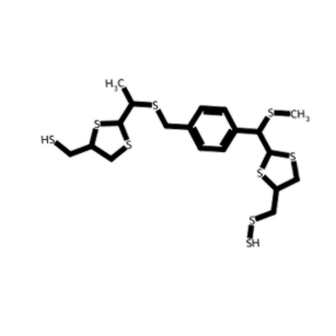 CSC(c1ccc(CSC(C)C2SCC(CS)S2)cc1)C1SCC(CSS)S1